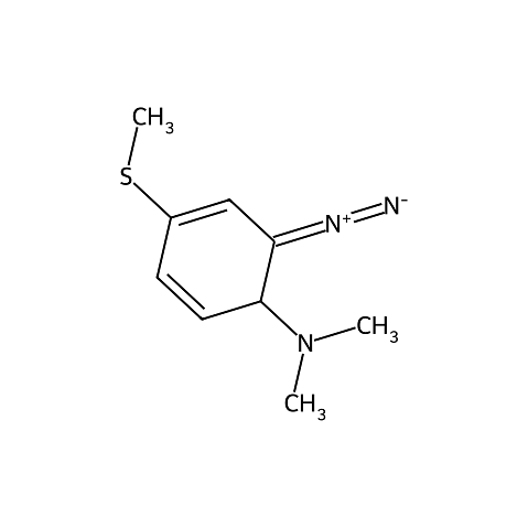 CSC1=CC(=[N+]=[N-])C(N(C)C)C=C1